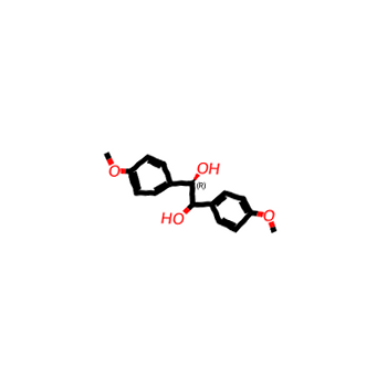 COc1ccc(C(O)[C@H](O)c2ccc(OC)cc2)cc1